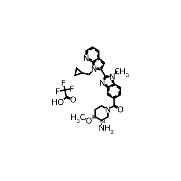 CO[C@@H]1CCN(C(=O)c2ccc3c(c2)nc(-c2cc4cccnc4n2CC2CC2)n3C)C[C@@H]1N.O=C(O)C(F)(F)F